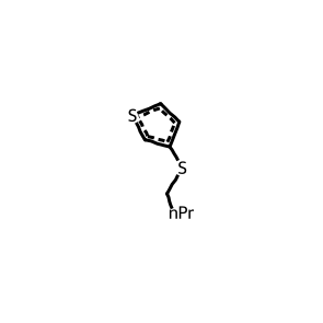 CCCCSc1ccsc1